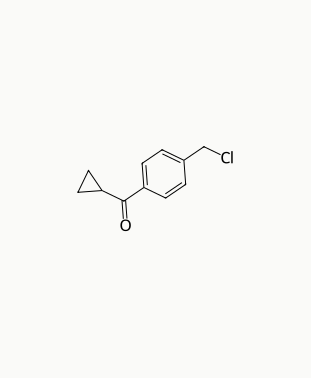 O=C(c1ccc(CCl)cc1)C1CC1